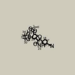 CCS(=O)(=O)Nc1cc2oc(-c3ccc(C#N)cc3)c(C(=O)NC)c2cc1B1OC(C)(C)C(C)(C)O1